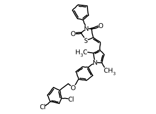 Cc1cc(C=C2SC(=O)N(c3ccccc3)C2=O)c(C)n1-c1ccc(OCc2ccc(Cl)cc2Cl)cc1